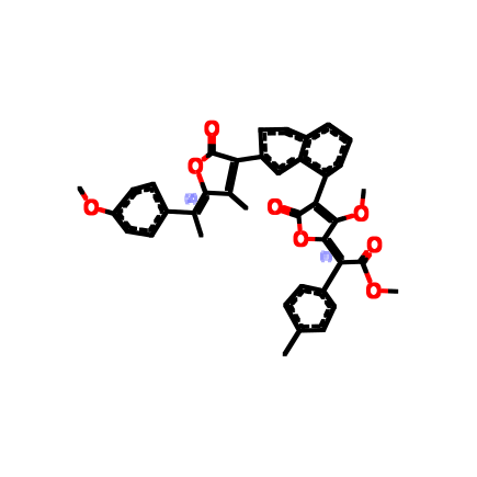 COC(=O)/C(=C1/OC(=O)C(c2cccc3ccc(C4=C(C)/C(=C(\C)c5ccc(OC)cc5)OC4=O)cc23)=C1OC)c1ccc(C)cc1